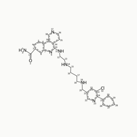 NC(=O)c1ccc2c(c1)nc(NCCNCCCCNCc1cnc(-c3ccccc3)c(Cl)c1)c1ccncc12